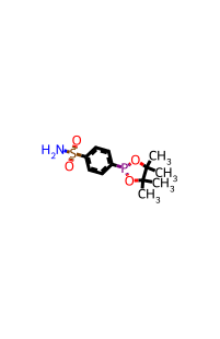 CC1(C)OP(c2ccc(S(N)(=O)=O)cc2)OC1(C)C